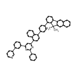 CC1(C)c2cc3ccccc3cc2-c2cccc(-c3ccc(-c4ccc(-c5cc(-c6cccc(-c7cccnc7)c6)nc(-c6ccccc6)n5)c5ccccc45)cc3)c21